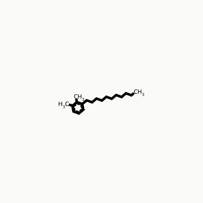 CCCCCCCCCCCc1[c]ccc(C)c1C